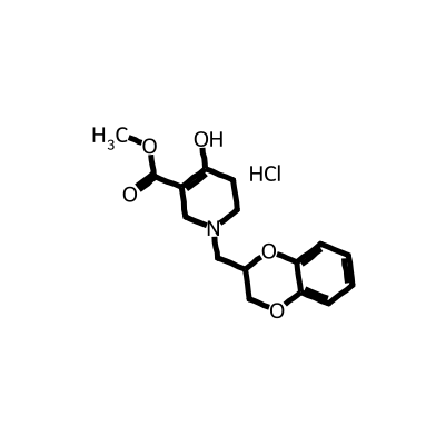 COC(=O)C1=C(O)CCN(CC2COc3ccccc3O2)C1.Cl